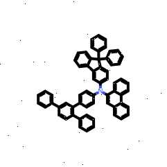 c1ccc(-c2ccc(-c3ccccc3)c(-c3ccc(N(c4ccc5c(c4)-c4ccccc4C5(c4ccccc4)c4ccccc4)c4cc5ccccc5c5ccccc45)cc3)c2)cc1